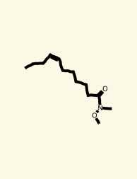 CCC/C=C\CCCCCC(=O)N(C)OC